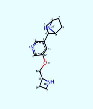 c1ncc(C2CC3CCC2N3)cc1OC[C@@H]1CCN1